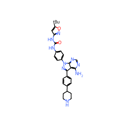 CC(C)(C)c1cc(NC(=O)Nc2ccc(-n3nc(-c4ccc(C5CCNCC5)cc4)c4c(N)ncnc43)cc2)no1